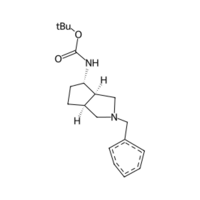 CC(C)(C)OC(=O)N[C@H]1CC[C@@H]2CN(Cc3ccccc3)C[C@@H]21